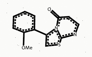 COc1ccccc1-c1csc2nccc(=O)n12